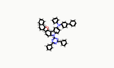 c1ccc(-c2ccc(N(c3ccccc3)c3ccc4c(c3)c3c5oc6c7ccccc7ccc6c5ccc3n4-c3nc(-c4ccccc4)nc(-c4ccccc4)n3)cc2)cc1